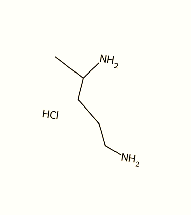 CC(N)CCCN.Cl